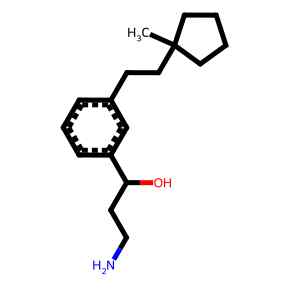 CC1(CCc2cccc(C(O)CCN)c2)CCCC1